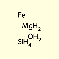 O.[Fe].[MgH2].[SiH4]